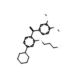 C=C(c1ccc(OC)c(OC)c1)c1ccc(C2CCCCC2)cc1NCCCCl